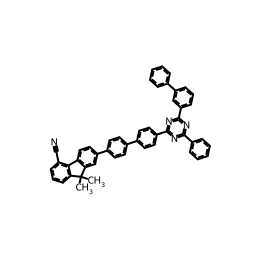 CC1(C)c2cc(-c3ccc(-c4ccc(-c5nc(-c6ccccc6)nc(-c6cccc(-c7ccccc7)c6)n5)cc4)cc3)ccc2-c2c(C#N)cccc21